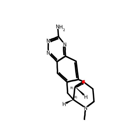 CN1CCC23CCCC[C@H]2[C@H]1Cc1cc2nnc(N)nc2cc13